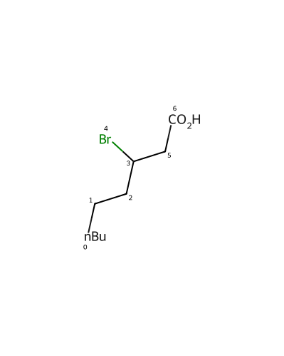 CCCCCCC(Br)CC(=O)O